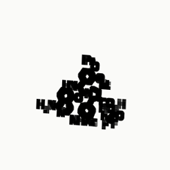 CCOc1cc(C(Nc2ccc3c(N)nccc3c2)C(=O)N2CCC(C(=O)O)C2c2cccc(NC(C)=O)c2)ccc1OC(C)C.O=C(O)C(F)(F)F